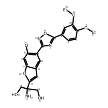 CCOc1ccc(-c2nc(-c3cc4cc(C(N)(CO)CO)oc4cc3Cl)no2)cc1OCC